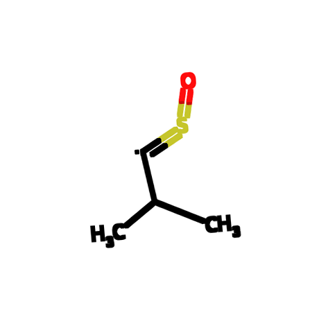 CC(C)[C]=S=O